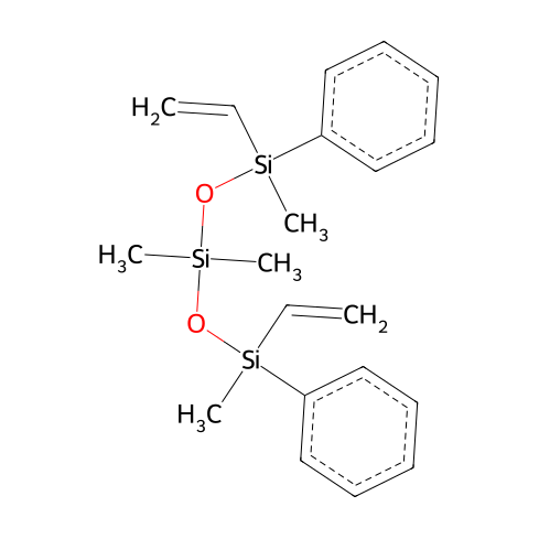 C=C[Si](C)(O[Si](C)(C)O[Si](C)(C=C)c1ccccc1)c1ccccc1